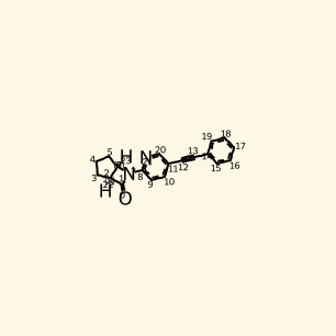 O=C1[C@H]2CCC[C@H]2N1c1ccc(C#Cc2ccccc2)cn1